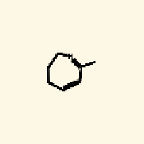 CC1=NCCCC=C1